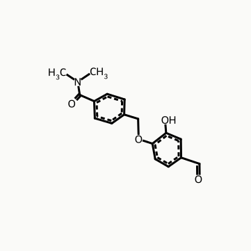 CN(C)C(=O)c1ccc(COc2ccc(C=O)cc2O)cc1